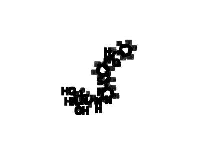 CC1(C)C(O)NC(O)N1CCNc1nccc(-c2cc3cc(NC(=O)Cc4ccccc4)ccc3s2)n1